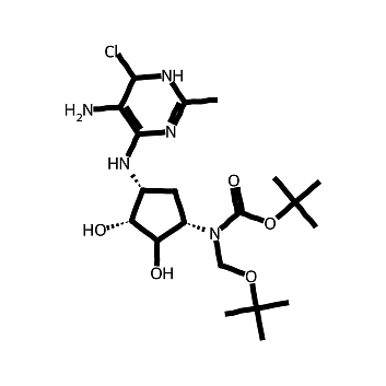 CC1=NC(N[C@@H]2C[C@H](N(COC(C)(C)C)C(=O)OC(C)(C)C)C(O)[C@@H]2O)=C(N)C(Cl)N1